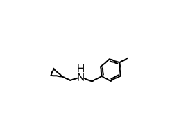 Cc1ccc(CNCC2CC2)cc1